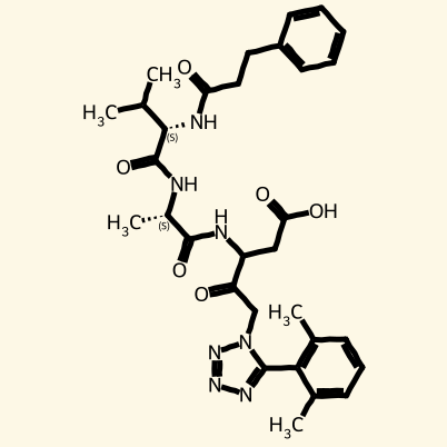 Cc1cccc(C)c1-c1nnnn1CC(=O)C(CC(=O)O)NC(=O)[C@H](C)NC(=O)[C@@H](NC(=O)CCc1ccccc1)C(C)C